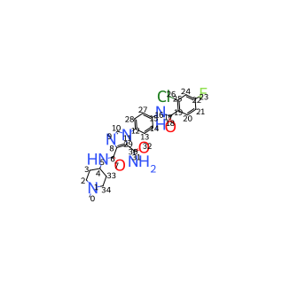 CN1CCC(NC(=O)c2ncn(-c3ccc(NC(=O)c4ccc(F)cc4Cl)cc3)c2C(N)=O)CC1